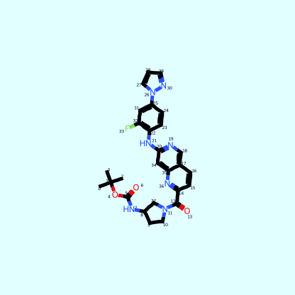 CC(C)(C)OC(=O)NC1CCN(C(=O)c2ccc3cnc(Nc4ccc(-n5cccn5)cc4F)cc3n2)C1